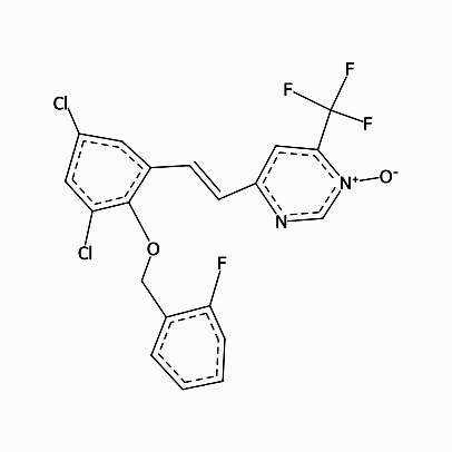 [O-][n+]1cnc(C=Cc2cc(Cl)cc(Cl)c2OCc2ccccc2F)cc1C(F)(F)F